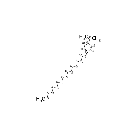 CCCCCCCCCCCCCCCCCC[n+]1ccc(C(C)C)cc1